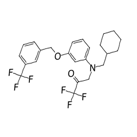 O=C(CN(CC1CCCCC1)c1cccc(OCc2cccc(C(F)(F)F)c2)c1)C(F)(F)F